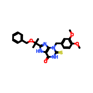 COc1ccc(Cn2c(=S)[nH]c(=O)c3[nH]c(C(C)(C)OCc4ccccc4)nc32)cc1OC